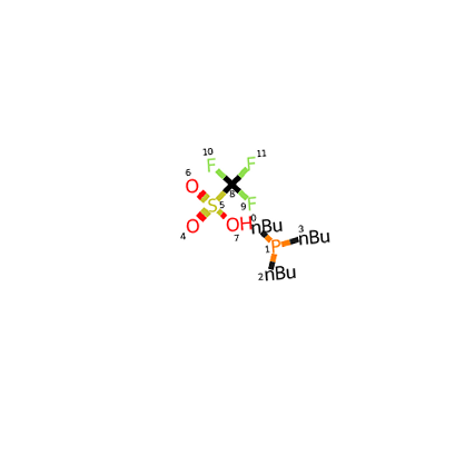 CCCCP(CCCC)CCCC.O=S(=O)(O)C(F)(F)F